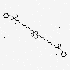 O=C(CCCCCCCCCCC(=O)OC(=O)CCCCCCCCCCC(=O)OCc1ccccc1)OCc1ccccc1